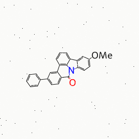 COc1ccc2c(c1)c1cccc3c4cc(-c5ccccc5)ccc4c(=O)n2c31